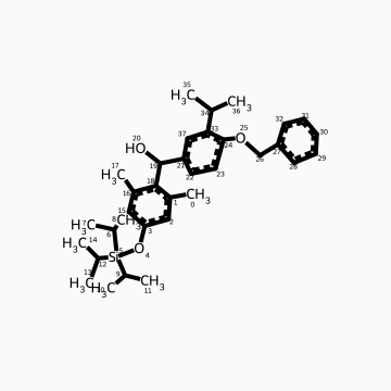 Cc1cc(O[Si](C(C)C)(C(C)C)C(C)C)cc(C)c1C(O)c1ccc(OCc2ccccc2)c(C(C)C)c1